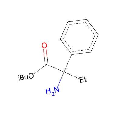 CCC(N)(C(=O)OCC(C)C)c1ccccc1